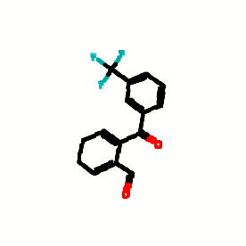 O=CC1=CCCC=C1C(=O)c1cccc(C(F)(F)F)c1